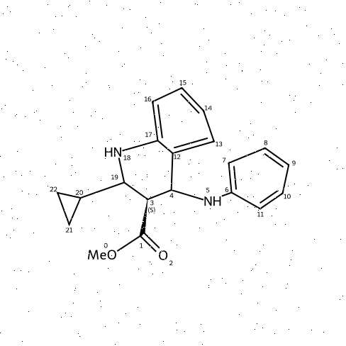 COC(=O)[C@@H]1C(Nc2ccccc2)c2ccccc2NC1C1CC1